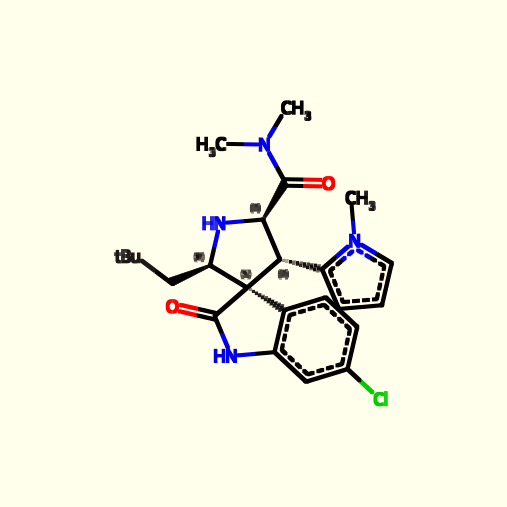 CN(C)C(=O)[C@@H]1N[C@H](CC(C)(C)C)[C@]2(C(=O)Nc3cc(Cl)ccc32)[C@H]1c1cccn1C